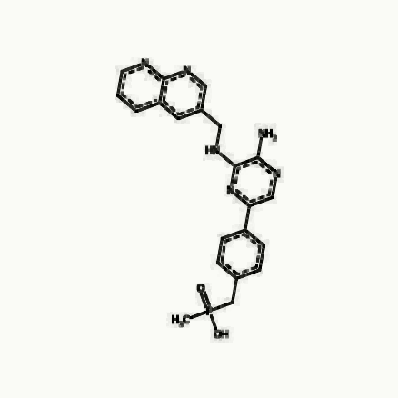 CP(=O)(O)Cc1ccc(-c2cnc(N)c(NCc3cnc4ncccc4c3)n2)cc1